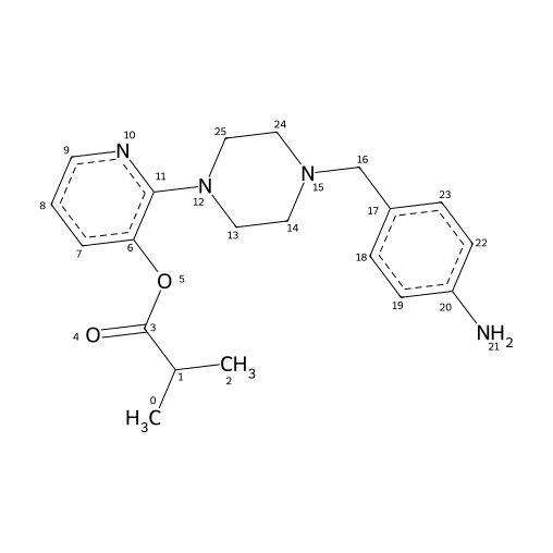 CC(C)C(=O)Oc1cccnc1N1CCN(Cc2ccc(N)cc2)CC1